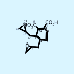 O=C(O)c1ccc(CC2CO2)c(CC2CO2)c1C(=O)O